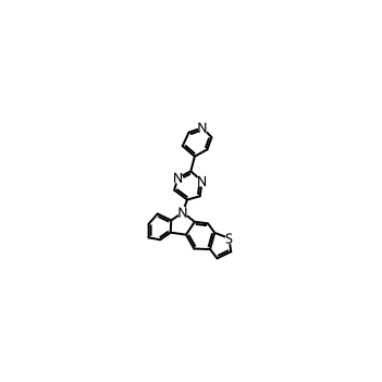 c1ccc2c(c1)c1cc3ccsc3cc1n2-c1cnc(-c2ccncc2)nc1